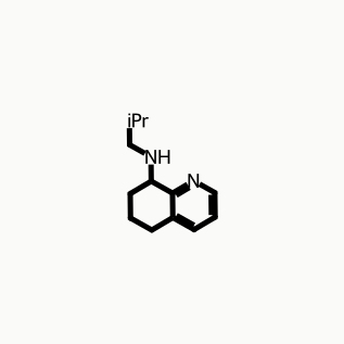 CC(C)CNC1CCCc2cccnc21